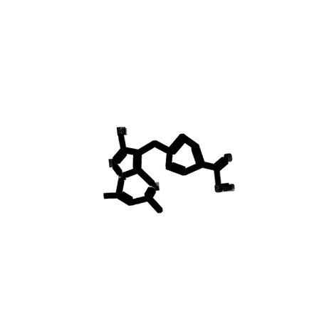 CCc1nn2c(C)cc(C)nc2c1Cc1ccc(C(=O)OC)cc1